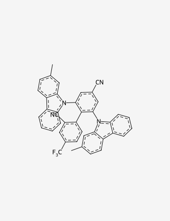 Cc1ccc2c3ccccc3n(-c3cc(C#N)cc(-n4c5ccccc5c5ccc(C)cc54)c3-c3ccc(C(F)(F)F)cc3C#N)c2c1